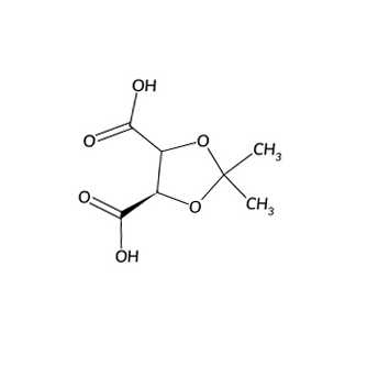 CC1(C)OC(C(=O)O)[C@H](C(=O)O)O1